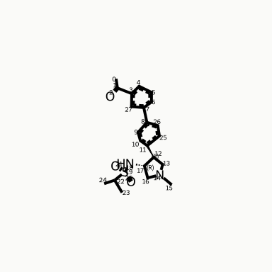 CC(=O)c1cccc(-c2ccc([C@H]3CN(C)C[C@@H]3NS(=O)(=O)C(C)C)cc2)c1